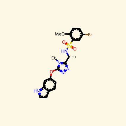 CCn1c(Oc2ccc3cc[nH]c3c2)nnc1[C@@H](C)NS(=O)(=O)c1cc(Br)ccc1OC